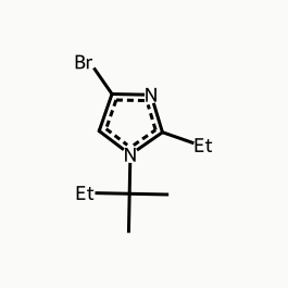 CCc1nc(Br)cn1C(C)(C)CC